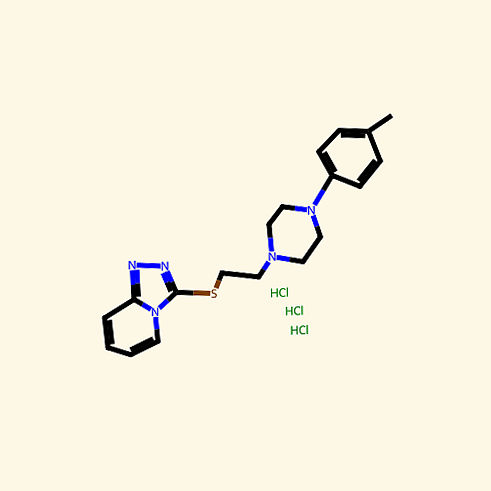 Cc1ccc(N2CCN(CCSc3nnc4ccccn34)CC2)cc1.Cl.Cl.Cl